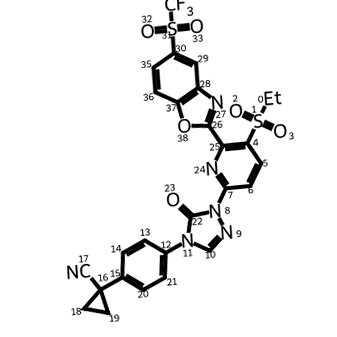 CCS(=O)(=O)c1ccc(-n2ncn(-c3ccc(C4(C#N)CC4)cc3)c2=O)nc1-c1nc2cc(S(=O)(=O)C(F)(F)F)ccc2o1